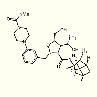 CNC(=O)N1CCN(c2cccc(CN3O[C@@H](CO)[C@@H]([C@H](C)O)[C@H]3C(=O)N[C@H]3C[C@H]4C[C@@H]([C@@H]3C)C4(C)C)c2)CC1